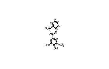 O=c1cc(-c2cc(O)c(O)c([N+](=O)[O-])c2)oc2ccccc12